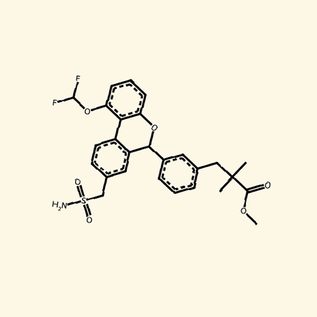 COC(=O)C(C)(C)Cc1cccc(C2Oc3cccc(OC(F)F)c3-c3ccc(CS(N)(=O)=O)cc32)c1